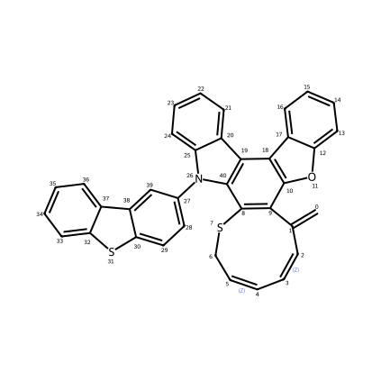 C=C1/C=C\C=C/CSc2c1c1oc3ccccc3c1c1c3ccccc3n(-c3ccc4sc5ccccc5c4c3)c21